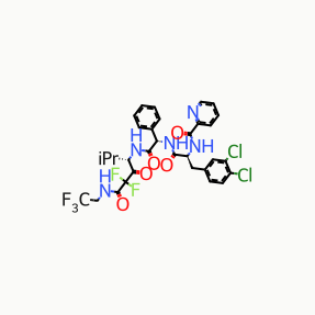 CC(C)[C@H](NC(=O)[C@@H](NC(=O)[C@H](Cc1ccc(Cl)c(Cl)c1)NC(=O)c1ccccn1)c1ccccc1)C(=O)C(F)(F)C(=O)NCC(F)(F)F